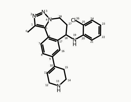 Cc1nnn2c1-c1ccc(C3=CCNCC3)cc1C(Nc1ccccc1Cl)CC2